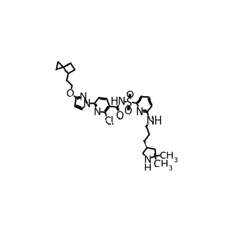 CC1(C)C[C@H](CCCNc2cccc(S(=O)(=O)NC(=O)c3ccc(-n4ccc(OCCC5CCC56CC6)n4)nc3Cl)n2)CN1